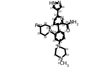 CN1CCN(c2ccc(-c3ccc(-c4cn[nH]c4)nc3C(N)=O)c(N3CCC(F)CC3)c2)CC1